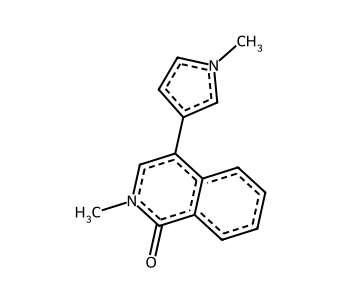 Cn1ccc(-c2cn(C)c(=O)c3ccccc23)c1